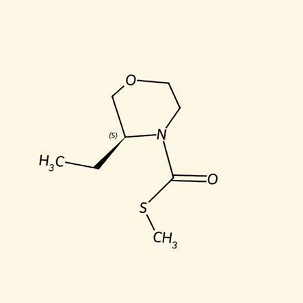 CC[C@H]1COCCN1C(=O)SC